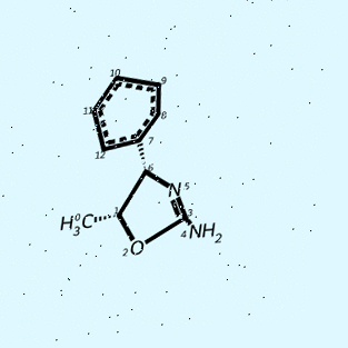 C[C@H]1OC(N)=N[C@H]1c1ccccc1